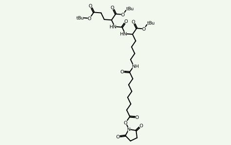 CC(C)(C)OC(=O)CCC(NC(=O)NC(CCCCNC(=O)CCCCCCC(=O)ON1C(=O)CCC1=O)C(=O)OC(C)(C)C)C(=O)OC(C)(C)C